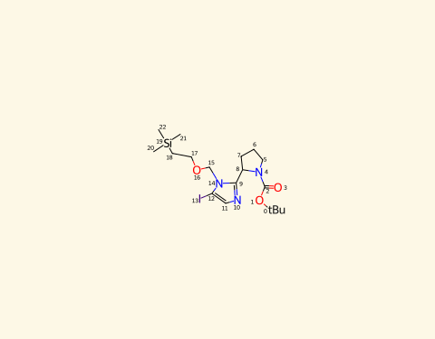 CC(C)(C)OC(=O)N1CCCC1c1ncc(I)n1COCC[Si](C)(C)C